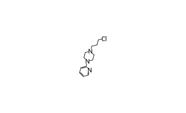 ClCCCN1CCN(c2ccccn2)CC1